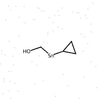 O[CH2][Sn][CH]1CC1